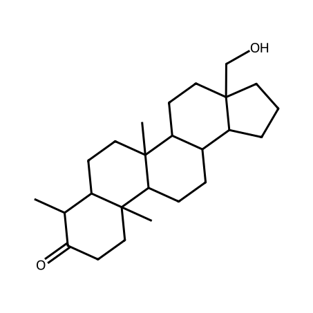 CC1C(=O)CCC2(C)C1CCC1(C)C3CCC4(CO)CCCC4C3CCC21